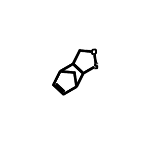 C1=CC2CC1C1COSC21